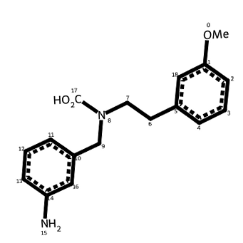 COc1cccc(CCN(Cc2cccc(N)c2)C(=O)O)c1